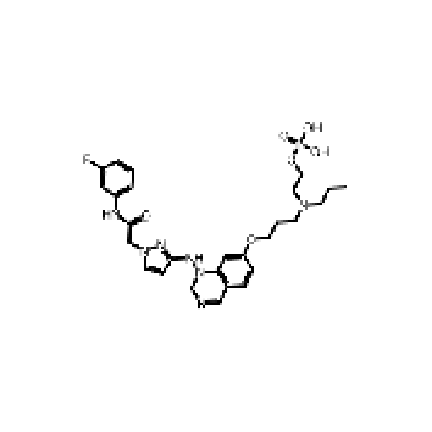 CCCN(CCCOc1ccc2c(c1)N(Nc1ccn(CC(=O)Nc3cccc(F)c3)n1)CN=C2)CCOP(=O)(O)O